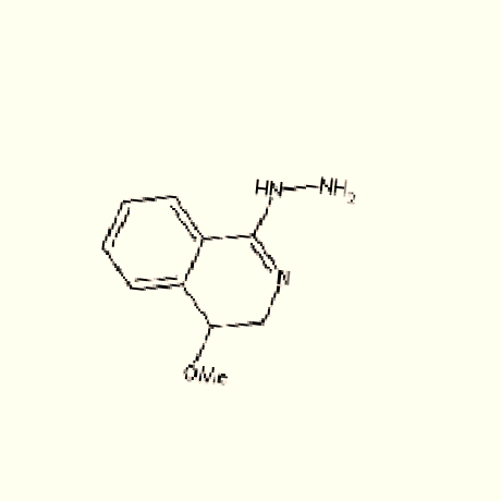 COC1CN=C(NN)c2ccccc21